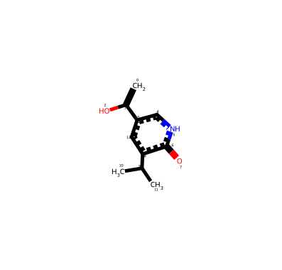 C=C(O)c1c[nH]c(=O)c(C(C)C)c1